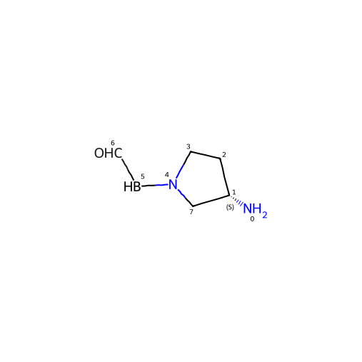 N[C@H]1CCN(BC=O)C1